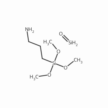 CO[Si](CCCN)(OC)OC.O=[SiH2]